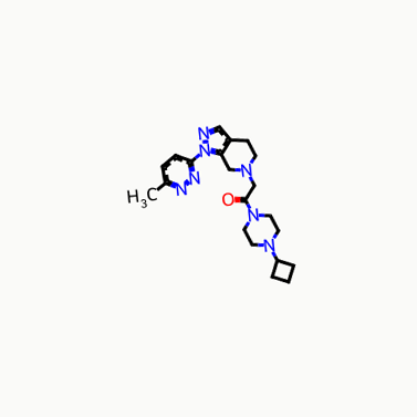 Cc1ccc(-n2ncc3c2CN(CC(=O)N2CCN(C4CCC4)CC2)CC3)nn1